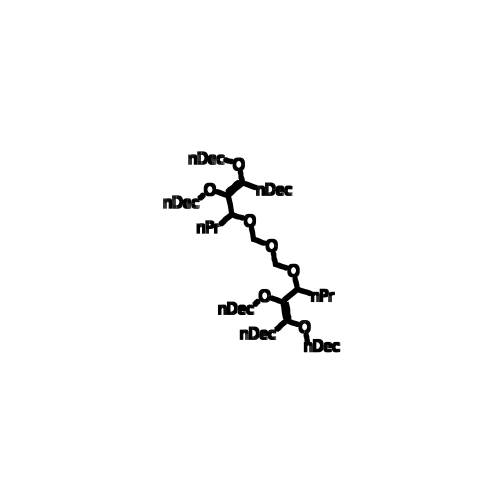 CCCCCCCCCCOC(CCCCCCCCCC)=C(OCCCCCCCCCC)C(CCC)OCOCOC(CCC)C(OCCCCCCCCCC)=C(CCCCCCCCCC)OCCCCCCCCCC